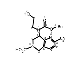 CC(C)(C)OC(=O)N(CCO)C1CN(C(=O)O)Cc2ccc(C#N)nc21